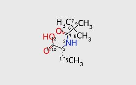 CC[C@@H](NC(=O)C(C)(C)C)C(=O)O